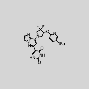 CC(C)(C)c1ccc(OC2CN(c3cc(-c4c[nH]c(=O)[nH]c4=O)nn4ccnc34)CC2(F)F)nc1